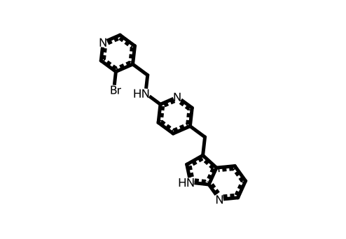 Brc1cnccc1CNc1ccc(Cc2c[nH]c3ncccc23)cn1